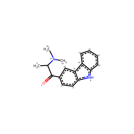 CC(C(=O)c1ccc2[nH]c3ccccc3c2c1)N(C)C